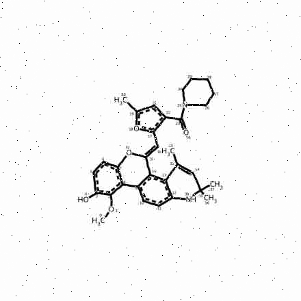 COc1c(O)ccc2c1-c1ccc3c(c1/C(=C/c1oc(C)cc1C(=O)N1CCCCC1)O2)C(C)=CC(C)(C)N3